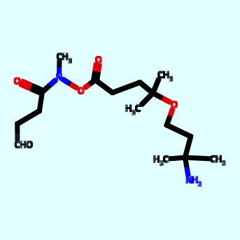 CN(OC(=O)CCC(C)(C)OCCC(C)(C)N)C(=O)CCC=O